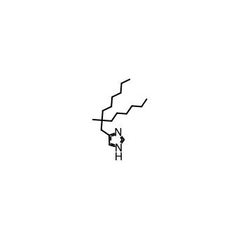 CCCCCCC(C)(CCCCCC)Cc1c[nH]cn1